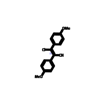 COc1ccc(/C(Cl)=C(\C#N)c2ccc(OC)cc2)cc1